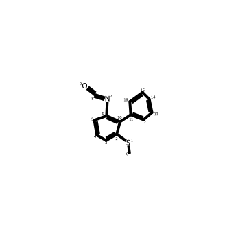 CSc1cccc(N=C=O)c1-c1ccccc1